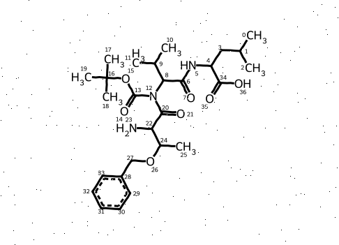 CC(C)CC(NC(=O)C(C(C)C)N(C(=O)OC(C)(C)C)C(=O)C(N)C(C)OCc1ccccc1)C(=O)O